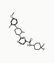 COc1ccc(N2CCN(c3nccc(C(=O)NC4CCC(F)(F)CC4)n3)C(C)C2)c(F)c1